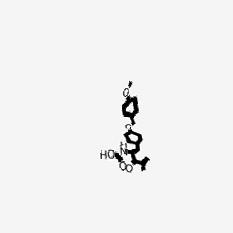 C=C(C)C(=O)C(CC1CCC(OCc2ccc(OC)cc2)CC1)NC(=O)O